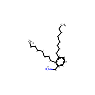 CCCCCCCCc1cccc(CN)c1CCCCCCCC